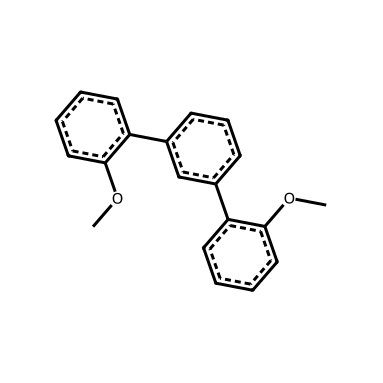 COc1ccccc1-c1cccc(-c2ccccc2OC)c1